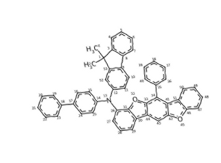 CC1(C)c2ccccc2-c2ccc(N(c3ccc(-c4ccccc4)cc3)c3cccc4c3oc3c(-c5ccccc5)c5c(cc34)oc3ccccc35)cc21